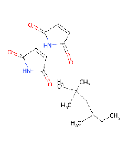 CCC(C)CC(C)(C)C.O=C1C=CC(=O)N1.O=C1C=CC(=O)N1